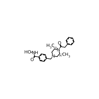 C[C@@H]1CN(Cc2ccc(C(=O)NO)cc2)C[C@H](C)N1C(=O)Cc1ccccc1